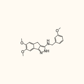 COc1cccc(CNc2[nH]nc3c2Cc2cc(OC)c(OC)cc2-3)c1